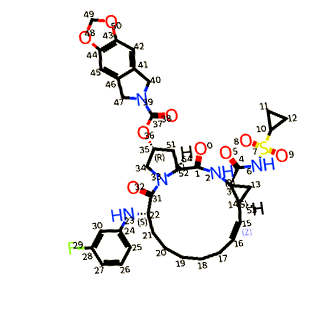 O=C1N[C@]2(C(=O)NS(=O)(=O)C3CC3)C[C@H]2/C=C\CCCCC[C@H](Nc2cccc(F)c2)C(=O)N2C[C@H](OC(=O)N3Cc4cc5c(cc4C3)OCO5)C[C@@H]12